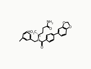 Cc1cccc(CN(C(=O)c2ccc(-c3ccc4c(c3)OCO4)cc2)[C@@H](CCC(N)=O)C(=O)O)c1